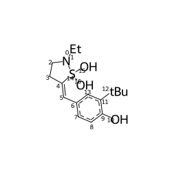 CCN1CCC(=Cc2ccc(O)c(C(C)(C)C)c2)S1(O)O